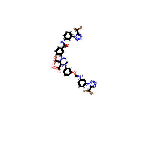 CN(c1cccc(OCNc2cccc(-n3nnnc3C(=S)S)c2)c1)C(C(=O)O)C(C(=O)O)N(C)c1cccc(C(=O)Nc2cccc(-n3nnnc3C(=S)S)c2)c1